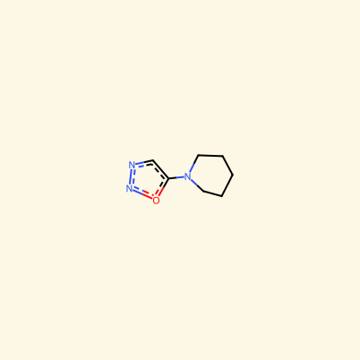 c1nnoc1N1CCCCC1